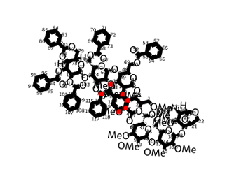 COCC1O[C@@H](O[C@H]2C(OC)C(OC)[C@@H](O[C@H]3C(OC)C(OC)[C@H](O[C@H]4C5CO[C@H](O5)C(N=[N+]=[N-])[C@@H]4OC)O[C@H]3COC)O[C@H]2COC)C(OC)[C@@H](OC)[C@@H]1O[C@@H]1OC(COC(=O)c2ccccc2)[C@@H](O[C@@H]2O[C@@H](COC(=O)c3ccccc3)[C@@H](O[C@H]3O[C@H]4COC(c5ccccc5)O[C@H]4C(OC(=O)c4ccccc4)C3OC(=O)c3ccccc3)C(OC(=O)c3ccccc3)C2OC(=O)c2ccccc2)[C@H](OC)C1OC